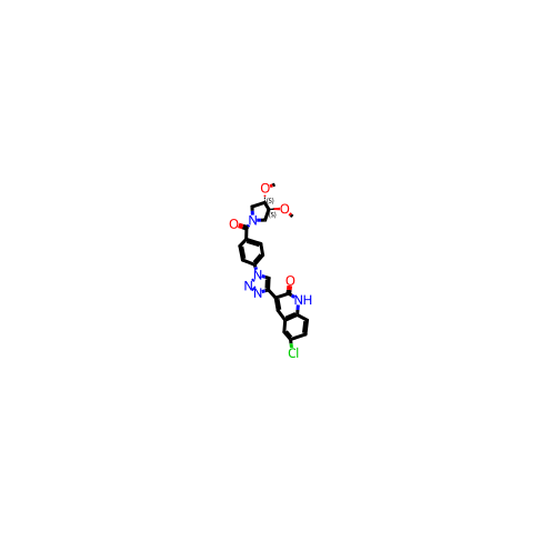 CO[C@H]1CN(C(=O)c2ccc(-n3cc(-c4cc5cc(Cl)ccc5[nH]c4=O)nn3)cc2)C[C@@H]1OC